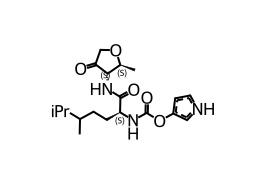 CC(C)C(C)CC[C@H](NC(=O)Oc1cc[nH]c1)C(=O)N[C@@H]1C(=O)CO[C@H]1C